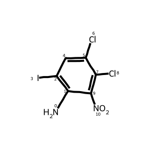 Nc1c(I)cc(Cl)c(Cl)c1[N+](=O)[O-]